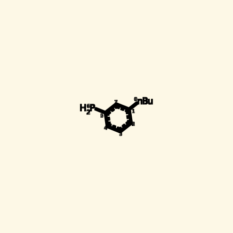 CCCCc1cccc(P)c1